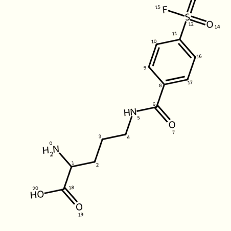 NC(CCCNC(=O)c1ccc(S(=O)(=O)F)cc1)C(=O)O